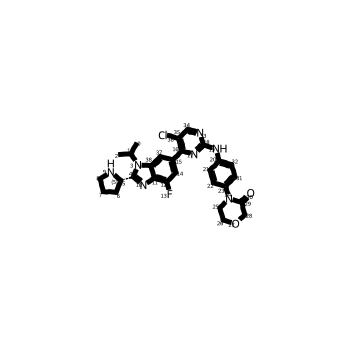 CC(C)n1c([C@@H]2CCCN2)nc2c(F)cc(-c3nc(Nc4ccc(N5CCOCC5=O)cc4)ncc3Cl)cc21